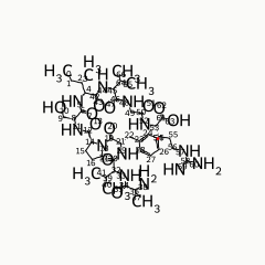 CC[C@H](C)[C@H](NC(=O)[C@H](CO)NC(=O)[C@@H]1CCCN1C(=O)[C@H](Cc1ccccc1)NC(=O)[C@@H](NC(=O)[C@H](C)N)C(C)C)C(=O)N[C@H](C(=O)NCC(=O)N[C@@H](CCCNC(=N)N)C(=O)O)C(C)C